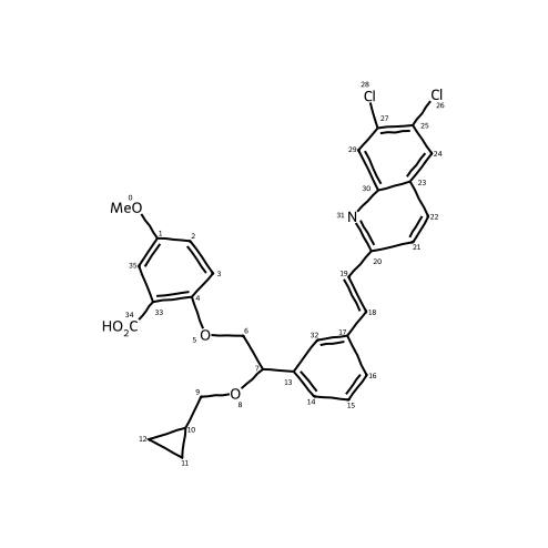 COc1ccc(OCC(OCC2CC2)c2cccc(/C=C/c3ccc4cc(Cl)c(Cl)cc4n3)c2)c(C(=O)O)c1